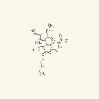 CCOCCOC(=O)C1=C(C)NC(C=NO)=C(C(=O)OCC)C1c1cccc([N+](=O)[O-])c1